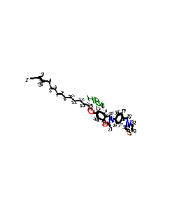 Br.CCCCCCCCCCCCCCOc1ccc(CN(C(C)=O)c2ccc(CN3C=CSC3)cc2)cc1